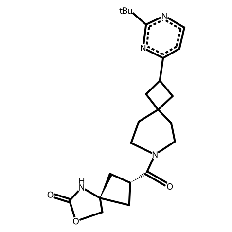 CC(C)(C)c1nccc(C2CC3(CCN(C(=O)[C@H]4C[C@]5(COC(=O)N5)C4)CC3)C2)n1